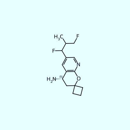 CC(CF)C(F)c1cnc2c(c1)[C@@H](N)CC1(CCC1)O2